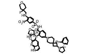 CC(C)c1ccccc1[C@@H]1CCCN1C1CC2(CCN(c3ccc(C(=O)NS(=O)(=O)c4ccc(NCC5(F)CCOCC5)c([N+](=O)[O-])c4)c(N4c5cc6cc[nH]c6nc5O[C@@H]5COC[C@H]54)c3)CC2)C1